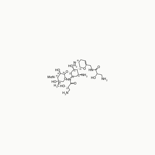 CN[C@@H]1[C@@H](O)[C@@H](O[C@H]2[C@H](NC(=O)[C@@H](O)CN)C[C@H](N)C([C@H]3OC(CNC(=O)C(O)CN)=CC[C@H]3N)[C@@H]2O)OC[C@]1(C)O